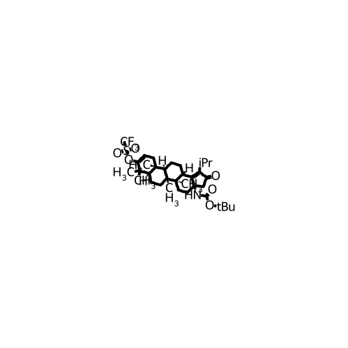 CC(C)C1=C2[C@H]3CC[C@@H]4[C@@]5(C)CC=C(OS(=O)(=O)C(F)(F)F)C(C)(C)[C@@H]5CC[C@@]4(C)[C@]3(C)CC[C@@]2(NC(=O)OC(C)(C)C)CC1=O